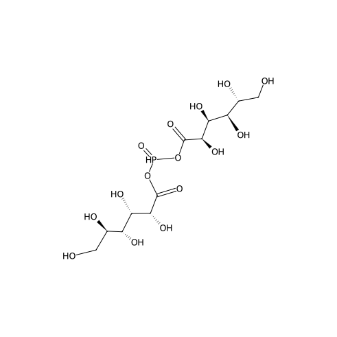 O=C(O[PH](=O)OC(=O)[C@H](O)[C@@H](O)[C@H](O)[C@H](O)CO)[C@H](O)[C@@H](O)[C@H](O)[C@H](O)CO